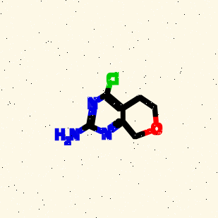 Nc1nc(Cl)c2c(n1)COCC2